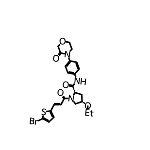 CCO[C@@H]1C[C@H](C(=O)Nc2ccc(N3CCOCC3=O)cc2)N(C(=O)/C=C/c2ccc(Br)s2)C1